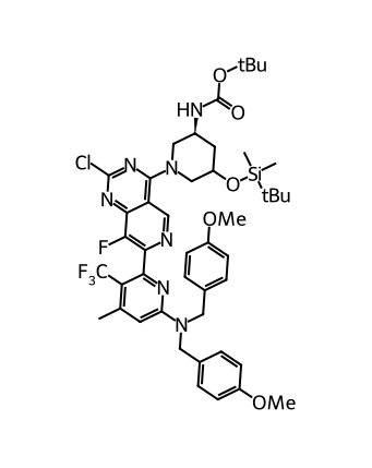 COc1ccc(CN(Cc2ccc(OC)cc2)c2cc(C)c(C(F)(F)F)c(-c3ncc4c(N5CC(O[Si](C)(C)C(C)(C)C)C[C@H](NC(=O)OC(C)(C)C)C5)nc(Cl)nc4c3F)n2)cc1